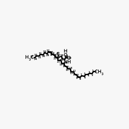 CCCCCCCC/C=C\CCCCCCCCC(CCCCCCC/C=C\CCCCCCCC)N[C@@H](CCSC)C(=O)O